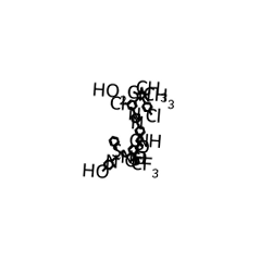 Cc1c(C(=O)O)c(-c2cc(Cl)cc(N3CCN(c4ccc(NS(=O)(=O)c5ccc(N[C@H](CCN6CCC(O)CC6)CSc6ccccc6)c(S(=O)(=O)C(F)(F)F)c5)cc4)CC3)c2)c(-c2ccc(Cl)cc2)n1C